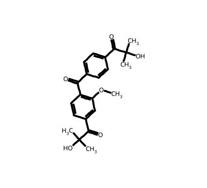 COc1cc(C(=O)C(C)(C)O)ccc1C(=O)c1ccc(C(=O)C(C)(C)O)cc1